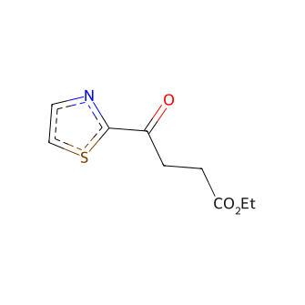 CCOC(=O)CCC(=O)c1nccs1